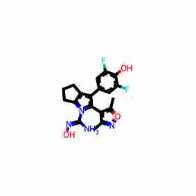 Cc1noc(C)c1-c1c(-c2cc(F)c(O)c(F)c2)c2c(n1/C(N)=N/O)CCC2